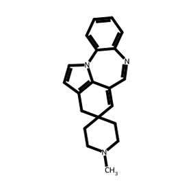 CN1CCC2(C=C3C=Nc4ccccc4-n4ccc(c43)C2)CC1